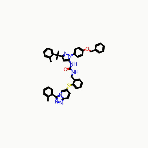 Cc1ccccc1-c1nnc2ccc(Sc3ccccc3CNC(=O)Nc3cc(C(C)(C)c4ccccc4C)nn3-c3ccc(OCc4ccccc4)cc3)cn12